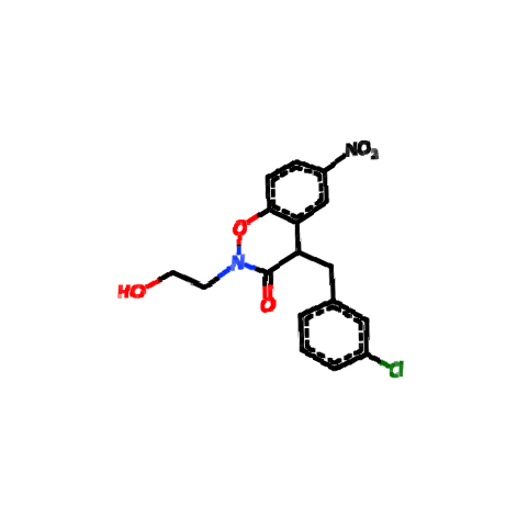 O=C1C(Cc2cccc(Cl)c2)c2cc([N+](=O)[O-])ccc2ON1CCO